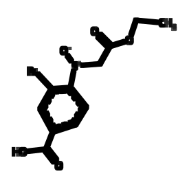 CCOC(=O)C[S+]([O-])c1ccc(C(=O)O)cc1Br